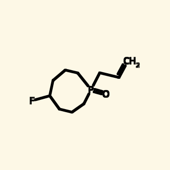 C=CCP1(=O)CCCC(F)CCC1